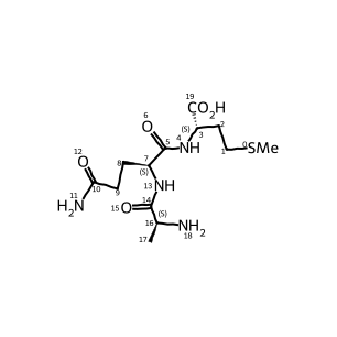 CSCC[C@H](NC(=O)[C@H](CCC(N)=O)NC(=O)[C@H](C)N)C(=O)O